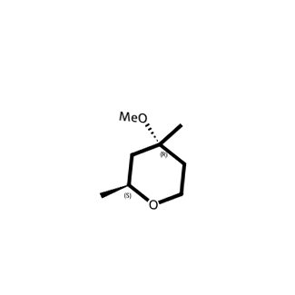 CO[C@]1(C)CCO[C@@H](C)C1